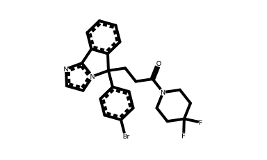 O=C(CCC1(c2ccc(Br)cc2)c2ccccc2-c2nccn21)N1CCC(F)(F)CC1